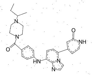 CCC(C)N1CCN(C(=O)c2ccc(Nc3ccc(-c4cc[nH]c(=O)c4)n4ccnc34)cc2)CC1